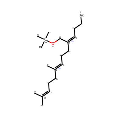 CC(=O)CC/C=C(/CC/C=C(\C)CCC=C(C)C)CO[Si](C)(C)C